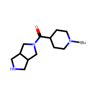 CC(C)(C)N1CCC(C(=O)N2CC3CNCC3C2)CC1